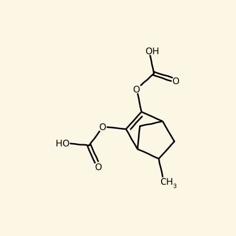 CC1CC2CC1C(OC(=O)O)=C2OC(=O)O